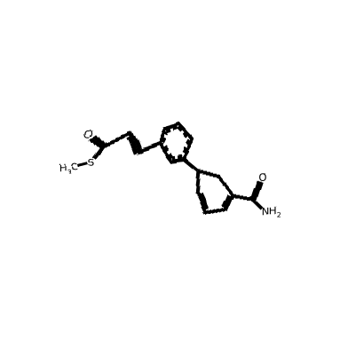 CSC(=O)/C=C/c1cccc(C2C=CC=C(C(N)=O)C2)c1